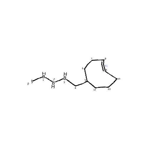 IBBBCC1CC/C=C/CCC1